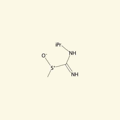 CC(C)NC(=N)[S+](C)[O-]